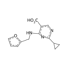 O=C(O)c1cnc(C2CC2)nc1NCc1ccco1